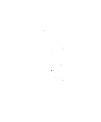 COC(CC1CNCC1[N+](=O)[O-])c1ccc(Cl)cc1